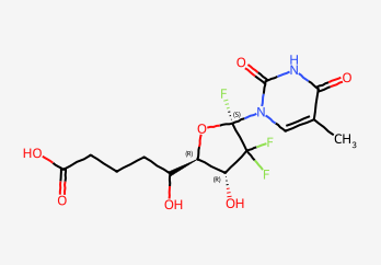 Cc1cn([C@]2(F)O[C@H](C(O)CCCC(=O)O)[C@@H](O)C2(F)F)c(=O)[nH]c1=O